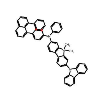 C[Si]1(C)c2cc(N(c3ccccc3)c3ccc(-c4cccc5cccc(-c6ccccc6)c45)cc3)ccc2-c2ccc(-n3c4ccccc4c4ccccc43)cc21